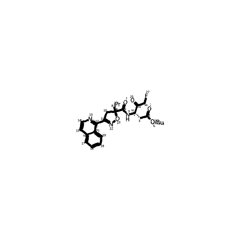 CC(C)COC(=O)C[C@H](NC(=O)C1(C(C)C)CC(c2nccc3ccccc23)=NO1)C(=O)CF